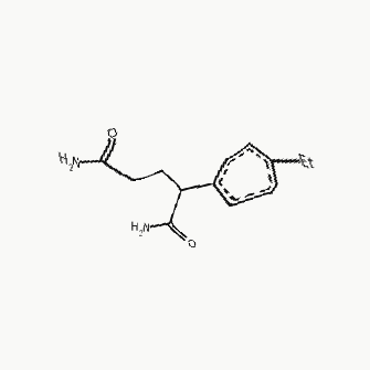 CCc1ccc(C(CCC(N)=O)C(N)=O)cc1